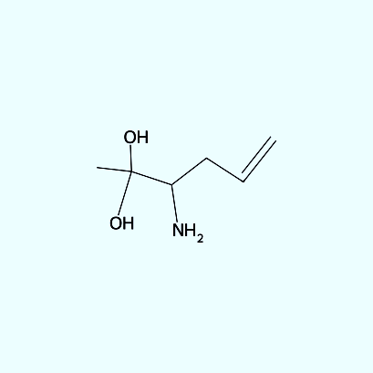 C=CCC(N)C(C)(O)O